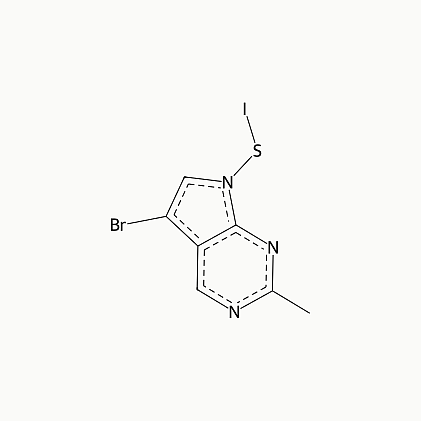 Cc1ncc2c(Br)cn(SI)c2n1